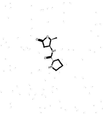 C[C@@H]1OC(=O)C[C@@H]1NC(=O)[C@@H]1CCCN1